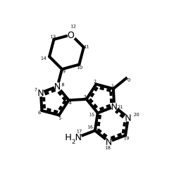 Cc1cc(-c2ccnn2C2CCOCC2)c2c(N)ncnn12